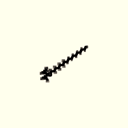 CCCCCCCCCCCCCCCCCOC(N(C)C)=[N+](C)C